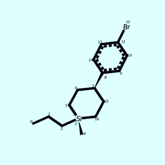 CCC[Si@]1(C)CC[C@@H](c2ccc(Br)cc2)CC1